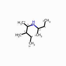 CCC(C)NC(C)C(C)CC